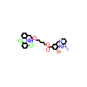 Nc1c(Br)cc(C(=O)OCCCCCOC(=O)Cc2ccccc2Nc2c(Cl)cccc2Cl)cc1CN1CCCCC1